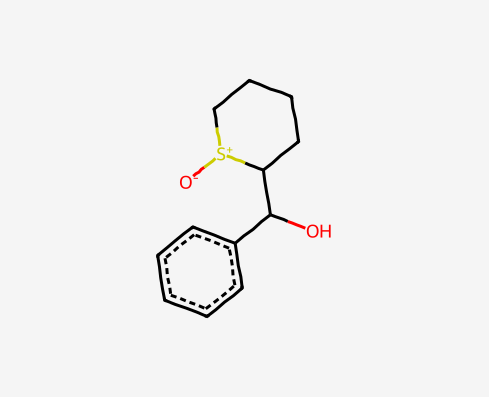 [O-][S+]1CCCCC1C(O)c1ccccc1